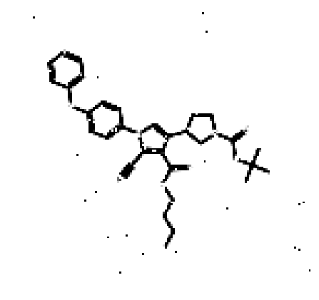 CCCCOC(=O)c1c(C2CCN(C(=O)OC(C)(C)C)C2)cn(-c2ccc(Oc3ccccc3)cc2)c1C#N